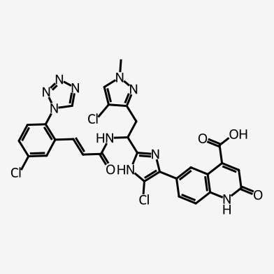 Cn1cc(Cl)c(CC(NC(=O)/C=C/c2cc(Cl)ccc2-n2cnnn2)c2nc(-c3ccc4[nH]c(=O)cc(C(=O)O)c4c3)c(Cl)[nH]2)n1